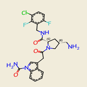 NC[C@H]1C[C@@H](C(=O)NCc2c(F)ccc(Cl)c2F)N(C(=O)Cc2cn(C(N)=O)c3ccccc23)C1